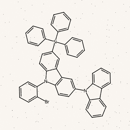 Brc1ccccc1-n1c2ccc(-n3c4ccccc4c4ccccc43)cc2c2cc([Si](c3ccccc3)(c3ccccc3)c3ccccc3)ccc21